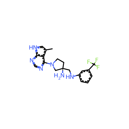 Cc1c[nH]c2ncnc(N3CC[C@](N)(CNc4cccc(C(F)(F)F)c4)C3)c12